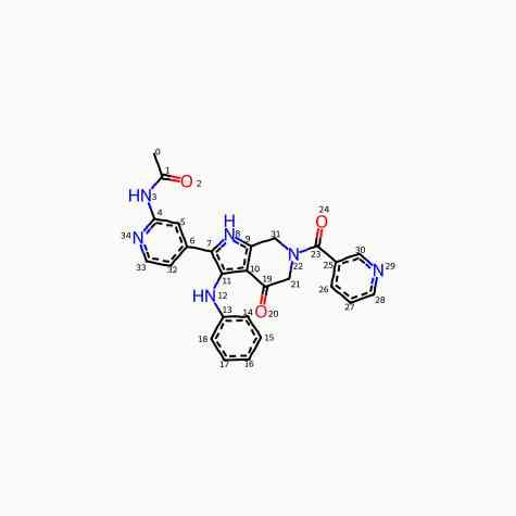 CC(=O)Nc1cc(-c2[nH]c3c(c2Nc2ccccc2)C(=O)CN(C(=O)c2cccnc2)C3)ccn1